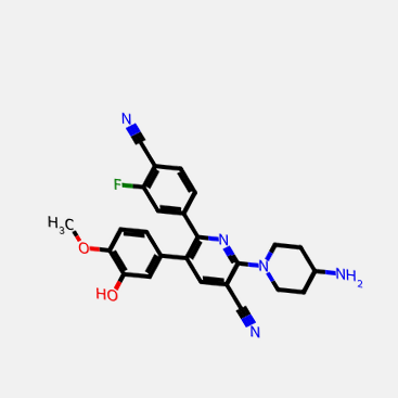 COc1ccc(-c2cc(C#N)c(N3CCC(N)CC3)nc2-c2ccc(C#N)c(F)c2)cc1O